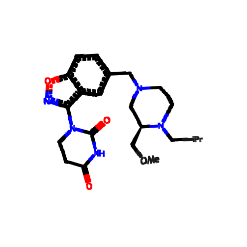 COC[C@H]1CN(Cc2ccc3onc(N4CCC(=O)NC4=O)c3c2)CCN1CC(C)C